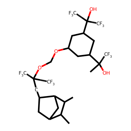 CC1C2CC(CC(OCOC3CC(C(C)(O)C(F)(F)F)CC(C(O)(C(F)(F)F)C(F)(F)F)C3)(C(F)(F)F)C(F)(F)F)C(C2)C1C